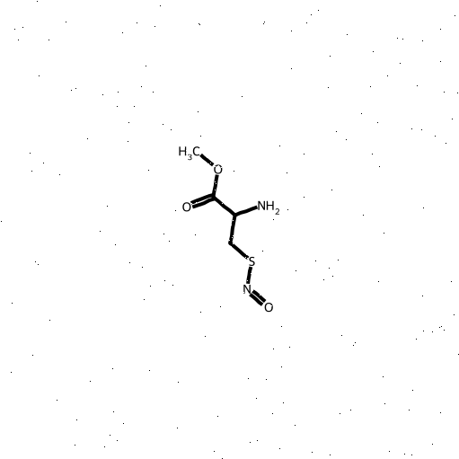 COC(=O)C(N)CSN=O